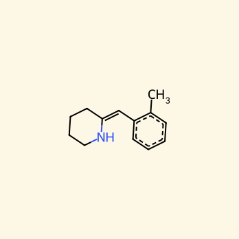 Cc1ccccc1C=C1CCCCN1